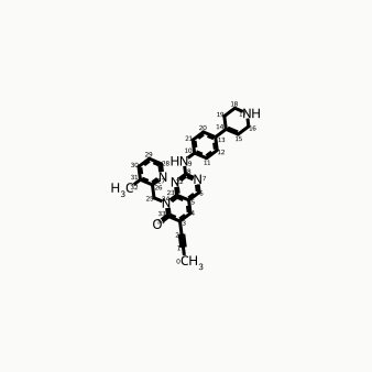 CC#Cc1cc2cnc(Nc3ccc(C4=CCNCC4)cc3)nc2n(Cc2ncccc2C)c1=O